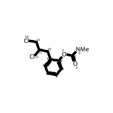 CNC(=O)Oc1ccccc1CC(Cl)CCl